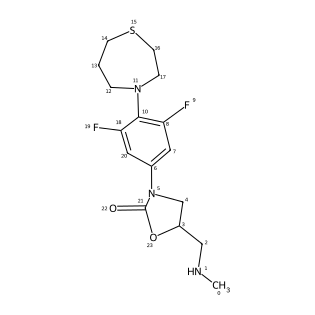 CNCC1CN(c2cc(F)c(N3CCCSCC3)c(F)c2)C(=O)O1